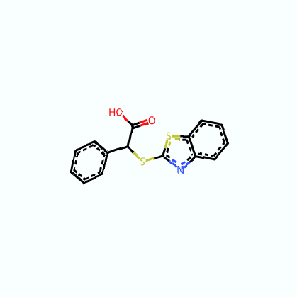 O=C(O)C(Sc1nc2ccccc2s1)c1ccccc1